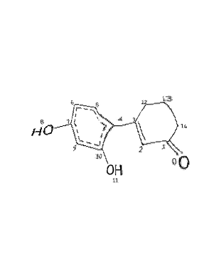 O=C1C=C(c2ccc(O)cc2O)CCC1